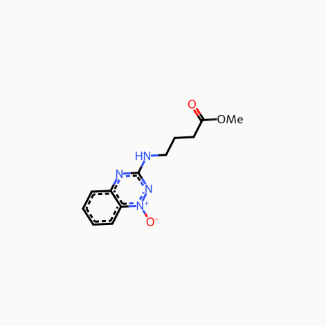 COC(=O)CCCNc1nc2ccccc2[n+]([O-])n1